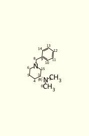 CN(C)[C@@H]1CCCN(Cc2ccccc2)C1